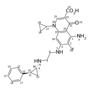 Nc1c(F)c(NCCN[C@@H]2C[C@H]2c2ccccc2)cc2c1c(=O)c(C(=O)O)cn2C1CC1